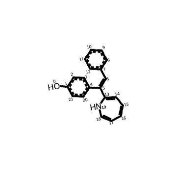 Oc1ccc(C(=Cc2ccccc2)C2=CC=CC=CN2)cc1